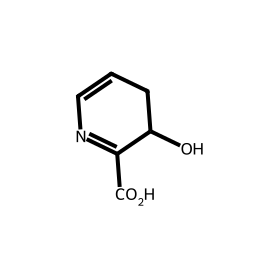 O=C(O)C1=NC=CCC1O